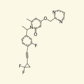 Cc1cc(OCc2ncccn2)cc(=O)n1C(C)c1ccc(C#CC2CC2(F)F)c(F)c1